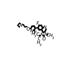 CC(C)n1c(=O)n(C)c2cnc3cc(F)c(-c4ccc(OCCCN5CCC5)nc4F)cc3c21